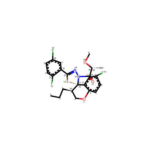 CCC[C@@H]1COc2ccc(F)cc2[C@@]12SC(c1cc(F)ccc1F)=NN2C(=O)[C@@H](C)OC